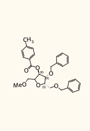 COCC1O[C@@H](COCc2ccccc2)[C@@H](OCc2ccccc2)[C@@H]1OC(=O)c1ccc(C)cc1